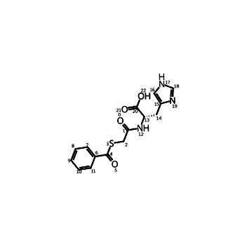 O=C(CSC(=O)c1ccccc1)N[C@@H](Cc1c[nH]cn1)C(=O)O